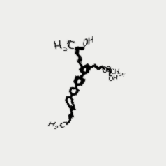 C=CCCC1CCC(C2CCC(c3ccc(-c4cc(CCCOOC(=C)CO)cc(CCCC(=C)CO)c4)cc3)CC2)CC1